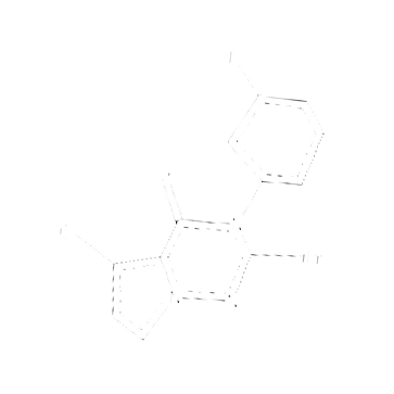 CC(C)c1nn2ccc(Cl)c2c(=O)n1-c1cccc(F)c1